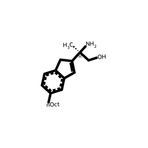 CCCCCCCCc1ccc2c(c1)C=C([C@@](C)(N)CO)C2